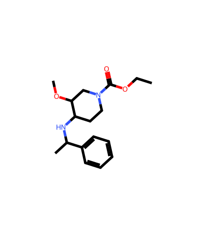 CCOC(=O)N1CCC(NC(C)c2ccccc2)C(OC)C1